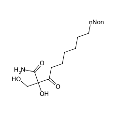 CCCCCCCCCCCCCCCC(=O)C(O)(CO)C(N)=O